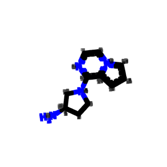 N[C@@H]1CCN(c2nccn3cccc23)C1